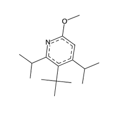 COc1cc(C(C)C)c(C(C)(C)C)c(C(C)C)n1